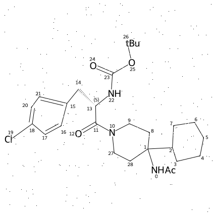 CC(=O)NC1(C2CCCCC2)CCN(C(=O)[C@H](Cc2ccc(Cl)cc2)NC(=O)OC(C)(C)C)CC1